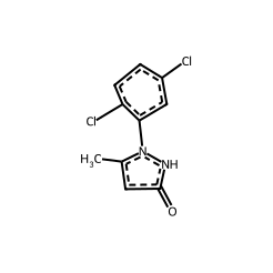 Cc1cc(=O)[nH]n1-c1cc(Cl)ccc1Cl